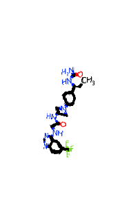 CC[C@H](NC(N)=O)C1CCC(N2CC(NC(=O)CNc3ncnc4ccc(C(F)(F)F)cc34)C2)CC1